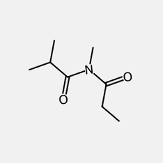 CCC(=O)N(C)C(=O)C(C)C